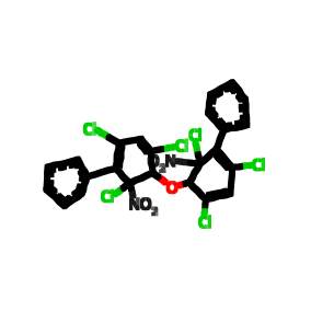 O=[N+]([O-])C1(Cl)C(c2ccccc2)=C(Cl)C=C(Cl)C1OC1C(Cl)=CC(Cl)=C(c2ccccc2)C1(Cl)[N+](=O)[O-]